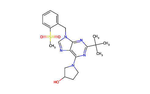 CC(C)(C)c1nc(N2CCC(O)C2)c2ncn(Cc3ccccc3S(C)(=O)=O)c2n1